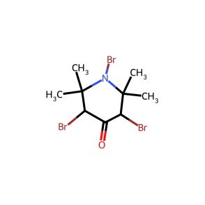 CC1(C)C(Br)C(=O)C(Br)C(C)(C)N1Br